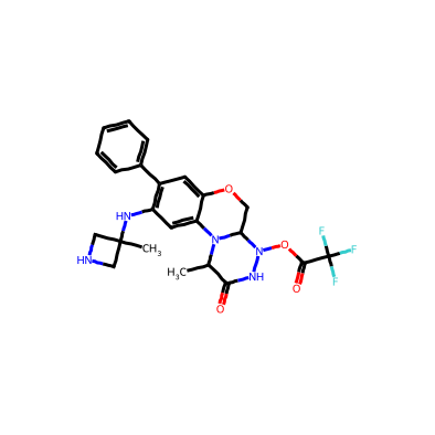 CC1C(=O)NN(OC(=O)C(F)(F)F)C2COc3cc(-c4ccccc4)c(NC4(C)CNC4)cc3N12